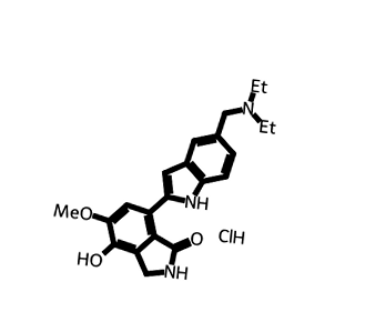 CCN(CC)Cc1ccc2[nH]c(-c3cc(OC)c(O)c4c3C(=O)NC4)cc2c1.Cl